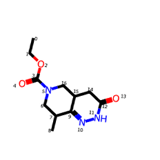 CCOC(=O)N1CC(C)C2=NNC(=O)CC2C1